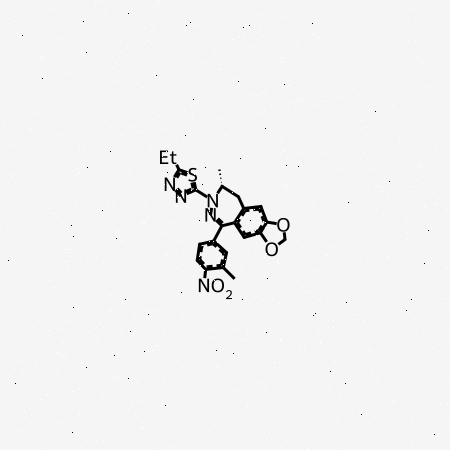 CCc1nnc(N2N=C(c3ccc([N+](=O)[O-])c(C)c3)c3cc4c(cc3C[C@H]2C)OCO4)s1